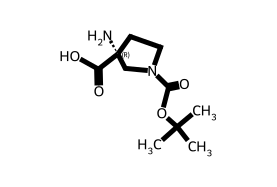 CC(C)(C)OC(=O)N1CC[C@](N)(C(=O)O)C1